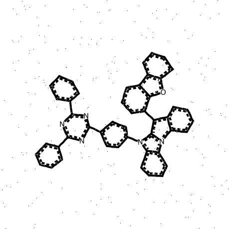 c1ccc(-c2nc(-c3ccccc3)nc(-c3ccc(-n4c5ccccc5n5c6ccccc6c(-c6cccc7c6oc6ccccc67)c45)cc3)n2)cc1